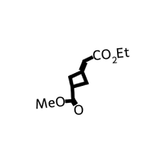 CCOC(=O)C=C1CC(C(=O)OC)C1